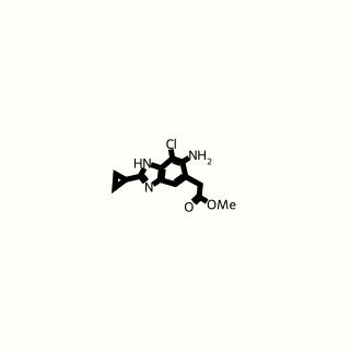 COC(=O)Cc1cc2nc(C3CC3)[nH]c2c(Cl)c1N